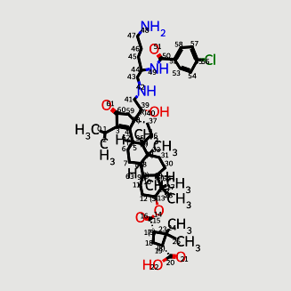 CC(C)C1=C2[C@H]3CC[C@@H]4[C@@]5(C)CC[C@H](OC(=O)[C@H]6C[C@@H](C(=O)O)C6(C)C)C(C)(C)[C@@H]5CC[C@@]4(C)[C@]3(C)CC[C@@]2([C@@H](O)CNCC(CCCN)NC(=O)c2ccc(Cl)cc2)CC1=O